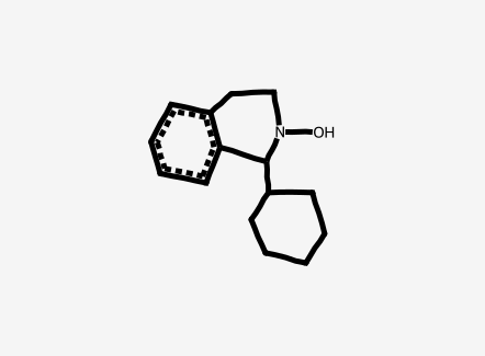 ON1CCc2ccccc2C1C1CCCCC1